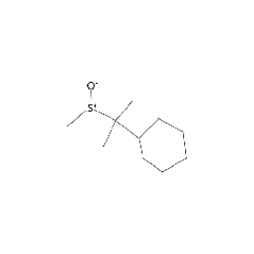 C[S+]([O-])C(C)(C)C1CCCCC1